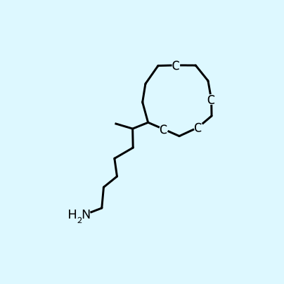 CC(CCCCCN)C1CCCCCCCCCCC1